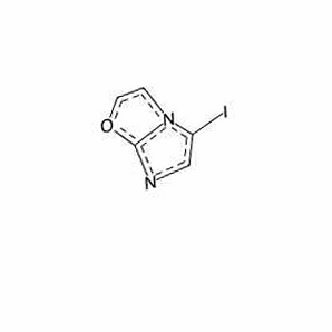 Ic1cnc2occn12